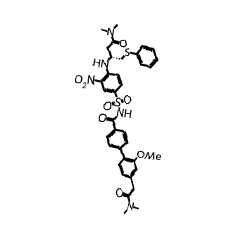 COc1cc(CC(=O)N(C)C)ccc1-c1ccc(C(=O)NS(=O)(=O)c2ccc(N[C@@H](CSc3ccccc3)CC(=O)N(C)C)c([N+](=O)[O-])c2)cc1